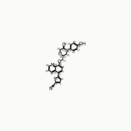 N#Cc1ccc(-c2ccc(OC[C@@H]3CN(c4ccc(O)cc4)C(=O)CO3)c3ncccc23)s1